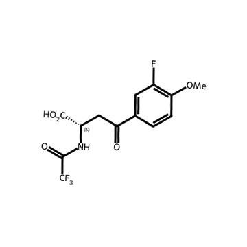 COc1ccc(C(=O)C[C@H](NC(=O)C(F)(F)F)C(=O)O)cc1F